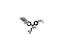 CN(C)CCNC(c1ccc(N)cc1)C1CCNCC1.Cl.Cl.Cl.Cl